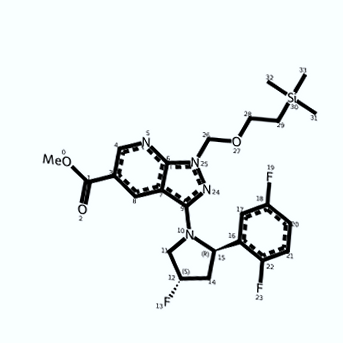 COC(=O)c1cnc2c(c1)c(N1C[C@@H](F)C[C@@H]1c1cc(F)ccc1F)nn2COCC[Si](C)(C)C